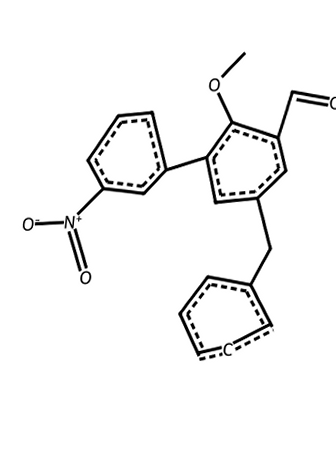 COc1c(C=O)cc(Cc2ccccc2)cc1-c1cccc([N+](=O)[O-])c1